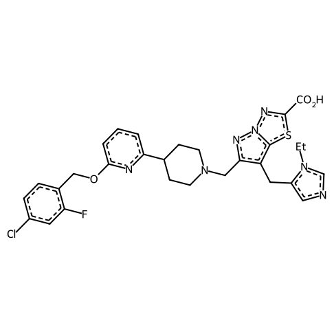 CCn1cncc1Cc1c(CN2CCC(c3cccc(OCc4ccc(Cl)cc4F)n3)CC2)nn2nc(C(=O)O)sc12